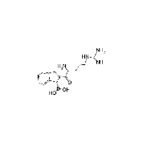 N=C(N)NCCC[C@H](N)C(=O)N1Cc2ccccc2[C@H]1B(O)O